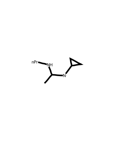 CCCNC(C)[N]C1CC1